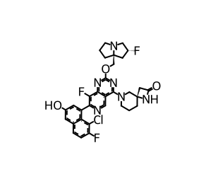 O=C1C[C@]2(CCCN(c3nc(OC[C@@]45CCCN4C[C@H](F)C5)nc4c(F)c(-c5cc(O)cc6ccc(F)c(Cl)c56)ncc34)C2)N1